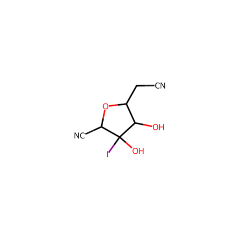 N#CCC1OC(C#N)C(O)(I)C1O